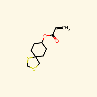 C=CC(=O)OC1CCC2(CC1)CSCS2